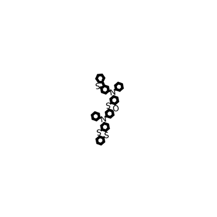 c1ccc(N(c2ccc3c(c2)Sc2cc(N(c4ccccc4)c4ccc5sc6ccccc6c5c4)ccc2O3)c2ccc3c(c2)Sc2ccccc2S3)cc1